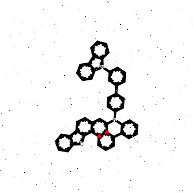 c1ccc(-c2ccccc2N(c2ccc(-c3cccc(-n4c5ccccc5c5ccccc54)c3)cc2)c2ccc3c(ccc4c5ccccc5oc34)c2)cc1